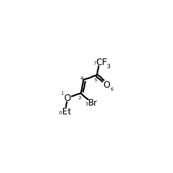 CCOC(Br)=CC(=O)C(F)(F)F